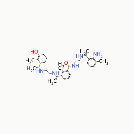 C=C(NCCNC(=C)c1cccc(C(=O)NCCNC(=C)c2cccc(C)c2N)c1C)C1=CCCC(O)=C1C